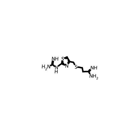 N=C(N)CCSCc1csc(NC(=N)N)n1